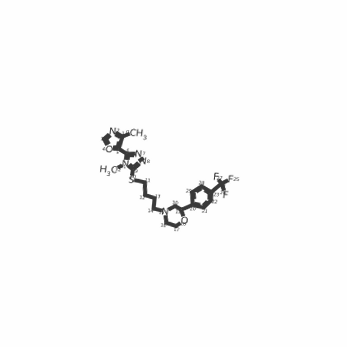 Cc1ncoc1-c1nnc(SCCCCN2CCOC(c3ccc(C(F)(F)F)cc3)C2)n1C